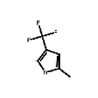 CC1=CC(C(F)(F)F)=[C][N]1